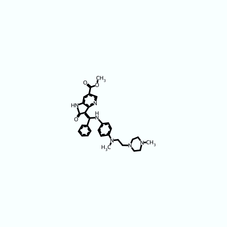 COC(=O)c1cnc2c(c1)NC(=O)C2=C(Nc1ccc(N(C)CCN2CCN(C)CC2)cc1)c1ccccc1